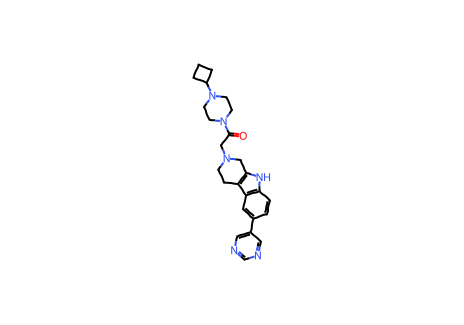 O=C(CN1CCc2c([nH]c3ccc(-c4cncnc4)cc23)C1)N1CCN(C2CCC2)CC1